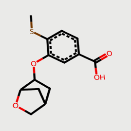 CSc1ccc(C(=O)O)cc1OC1CC2COC1C2